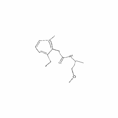 CCc1cccc(C)c1CC(=O)NC(C)COC